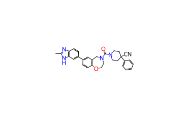 Cc1nc2ccc(-c3ccc4c(c3)CN(C(=O)N3CCC(C#N)(c5ccccc5)CC3)CCO4)cc2[nH]1